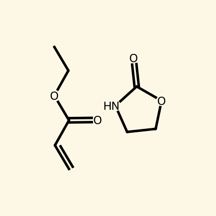 C=CC(=O)OCC.O=C1NCCO1